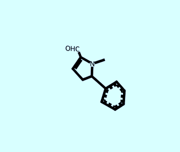 CN1C(C=O)=CCC1c1ccccc1